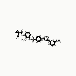 Cc1c(NC(=O)C2(C#N)CC2)cccc1NS(=O)(=O)c1ccc(-c2noc(-c3cccc(N)n3)n2)cc1